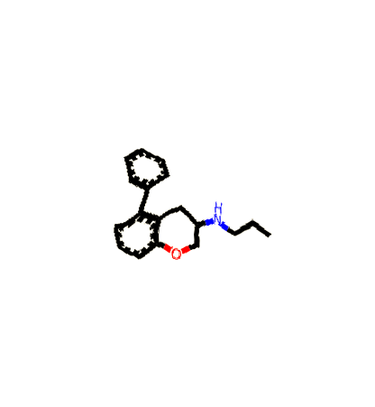 CCCNC1COc2cccc(-c3ccccc3)c2C1